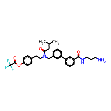 CC(C)CC(=O)N(CCc1ccc(OC(=O)C(F)(F)F)cc1)Cc1cccc(-c2cccc(C(=O)NCCCN)c2)c1